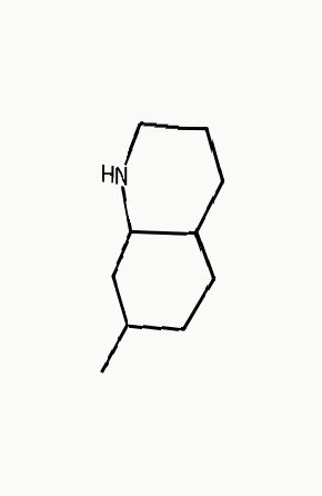 CC1CCC2CCCNC2C1